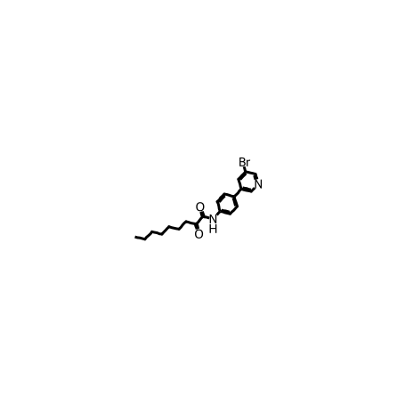 CCCCCCCC(=O)C(=O)Nc1ccc(-c2cncc(Br)c2)cc1